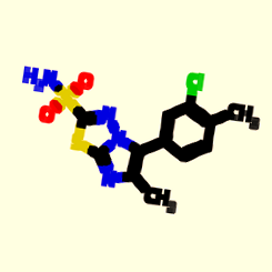 Cc1ccc(-c2c(C)nc3sc(S(N)(=O)=O)nn23)cc1Cl